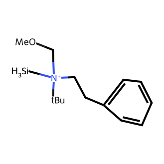 COC[N+]([SiH3])(CCc1ccccc1)C(C)(C)C